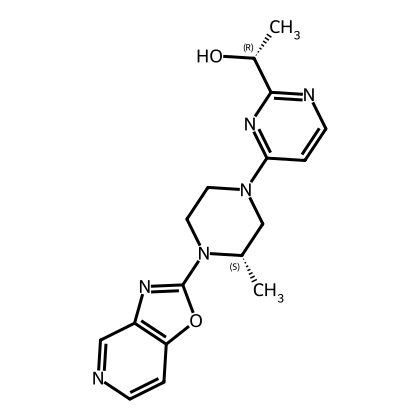 C[C@@H](O)c1nccc(N2CCN(c3nc4cnccc4o3)[C@@H](C)C2)n1